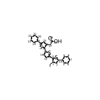 Cc1cc(-c2ccccc2)sc1-c1ccc(-c2sc(-c3ccccc3)cc2CC(=O)O)s1